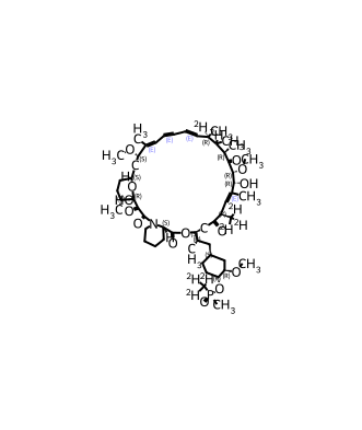 [2H]C([2H])([2H])[C@@H]1/C=C(\C)[C@@H](O)[C@@H](OC)C(=O)[C@H](C)C([2H])(C)[C@]([2H])(C)/C=C/C=C/C=C(\C)[C@@H](OC)C[C@@H]2CC[C@@H](C)[C@@](O)(O2)C(=O)C(=O)N2CCCC[C@H]2C(=O)O[C@H]([C@H](C)C[C@@H]2CC[C@@H](OP(C)(=O)C([2H])([2H])[2H])[C@H](OC)C2)CC1=O